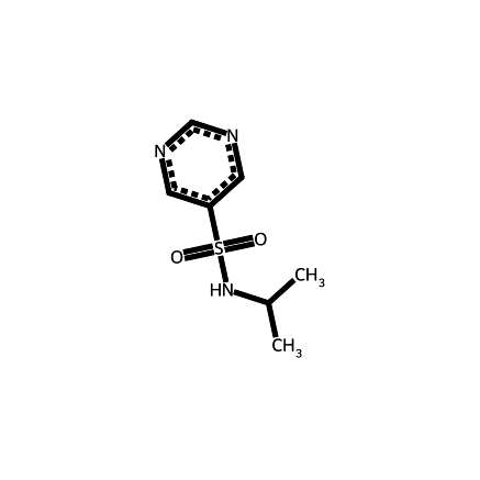 CC(C)NS(=O)(=O)c1cncnc1